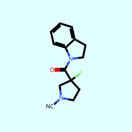 N#CN1CCC(F)(C(=O)N2CCc3ccccc32)C1